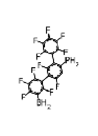 Bc1c(F)c(F)c(F)c(-c2c(F)cc(P)c(-c3c(F)c(F)c(F)c(F)c3F)c2F)c1F